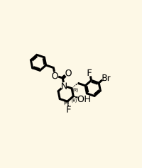 O=C(OCc1ccccc1)N1CC[C@@H](F)[C@H](O)[C@H]1Cc1cccc(Br)c1F